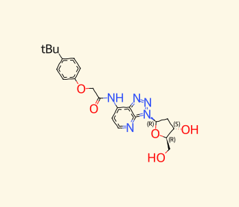 CC(C)(C)c1ccc(OCC(=O)Nc2ccnc3c2nnn3[C@H]2C[C@H](O)[C@@H](CO)O2)cc1